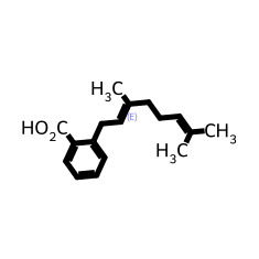 CC(C)=CCC/C(C)=C/Cc1ccccc1C(=O)O